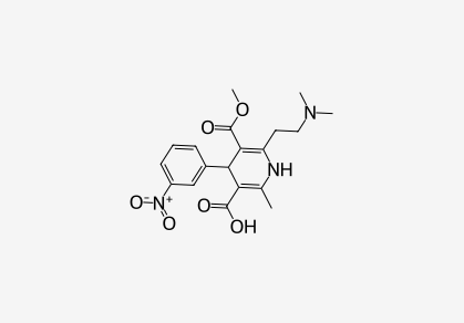 COC(=O)C1=C(CCN(C)C)NC(C)=C(C(=O)O)C1c1cccc([N+](=O)[O-])c1